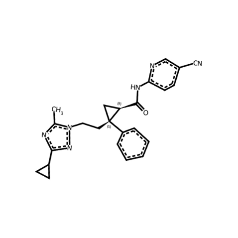 Cc1nc(C2CC2)nn1CC[C@@]1(c2ccccc2)C[C@H]1C(=O)Nc1ccc(C#N)cn1